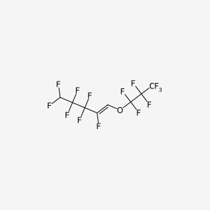 F/C(=C\OC(F)(F)C(F)(F)C(F)(F)F)C(F)(F)C(F)(F)C(F)F